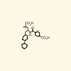 C[C@H](CC(Cc1ccc(-c2ccccc2)cc1)NC(=O)c1ccc(C(=O)O)cn1)C(=O)O